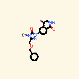 CCn1c(COCc2ccccc2)nn(-c2ccc3c(=O)[nH]cc(I)c3c2)c1=O